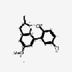 [CH2]C1Cc2cc(OC)cc(-c3cc(Cl)ccc3Cl)c2O1